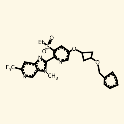 CCS(=O)(=O)c1cc(OC2CC(OCc3ccccc3)C2)cnc1-c1nc2cc(C(F)(F)F)ncc2n1C